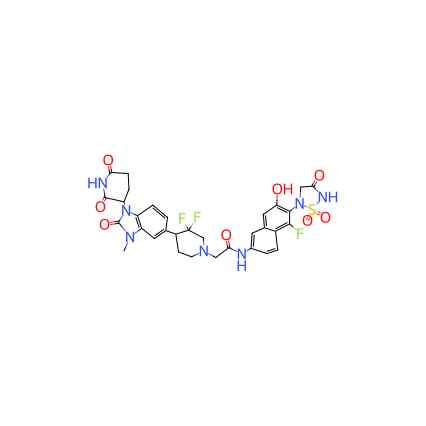 Cn1c(=O)n(C2CCC(=O)NC2=O)c2ccc(C3CCN(CC(=O)Nc4ccc5c(F)c(N6CC(=O)NS6(=O)=O)c(O)cc5c4)CC3(F)F)cc21